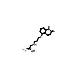 C=C(O)CNCCCOc1cccc2[nH]c(=O)ccc12